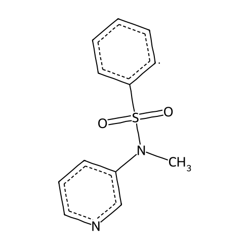 CN(c1cccnc1)S(=O)(=O)c1[c]cccc1